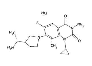 Cc1c(N2CCC([C@@H](C)N)C2)c(F)cc2c(=O)n(N)c(=O)n(C3CC3)c12.Cl